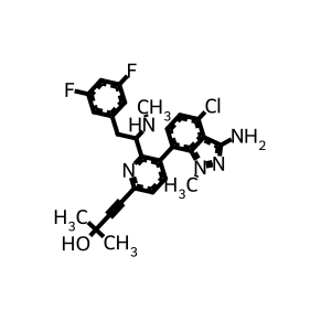 CNC(Cc1cc(F)cc(F)c1)c1nc(C#CC(C)(C)O)ccc1-c1ccc(Cl)c2c(N)nn(C)c12